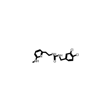 CNc1cccc(CCNC(=O)NCc2ccc(Cl)c(Cl)c2)n1